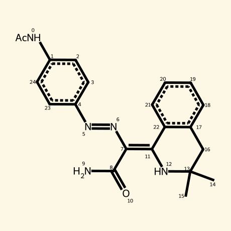 CC(=O)Nc1ccc(N=NC(C(N)=O)=C2NC(C)(C)Cc3ccccc32)cc1